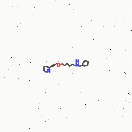 C(#Cc1ccccn1)COCCCCCCNCc1ccccc1